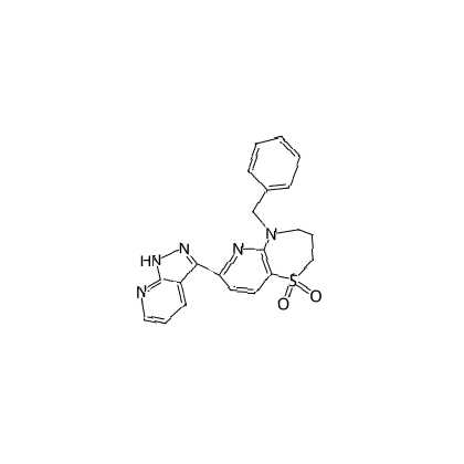 O=S1(=O)CCCN(Cc2ccccc2)c2nc(-c3n[nH]c4ncccc34)ccc21